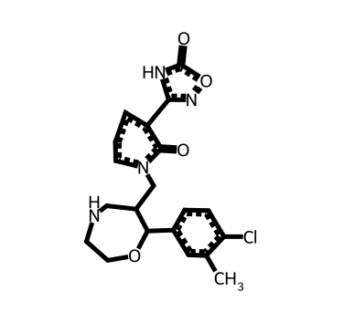 Cc1cc(C2OCCNCC2Cn2cccc(-c3noc(=O)[nH]3)c2=O)ccc1Cl